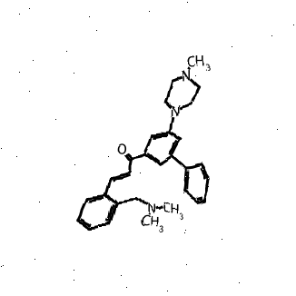 CN(C)Cc1ccccc1C=CC(=O)c1cc(-c2ccccc2)cc(N2CCN(C)CC2)c1